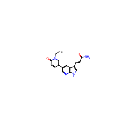 CC(C)(C)Cn1cc(-c2cnc3[nH]cc(/C=C/C(N)=O)c3c2)ccc1=O